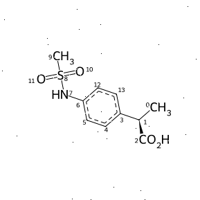 C[C@@H](C(=O)O)c1ccc(NS(C)(=O)=O)cc1